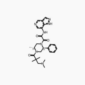 C[C@@H]1CN(C(=O)C(=O)Nc2cncc3cn[nH]c23)[C@@H](c2ccccc2)CN1C(=O)C(C)(C)CN(C)C